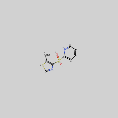 O=Cc1scnc1S(=O)(=O)c1ccccn1